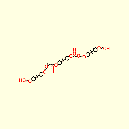 CC(C)(CC(O)COC1CCC(C(C)(C)C2CCC(OCC(O)COCCOC3CCC(C(C)(C)C4CCC(OCCO)CC4)CC3)CC2)CC1)OCCOC1CCC(C(C)(C)C2CCC(OCCO)CC2)CC1